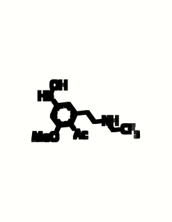 COc1cc(BO)cc(CCNCC(F)(F)F)c1C(C)=O